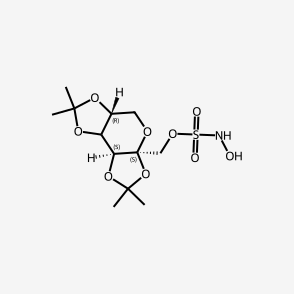 CC1(C)OC2[C@@H](CO[C@@]3(COS(=O)(=O)NO)OC(C)(C)O[C@@H]23)O1